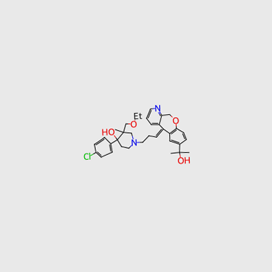 CCOCC1(C)CN(CC/C=C2/c3cc(C(C)(C)O)ccc3OCc3ncccc32)CCC1(O)c1ccc(Cl)cc1